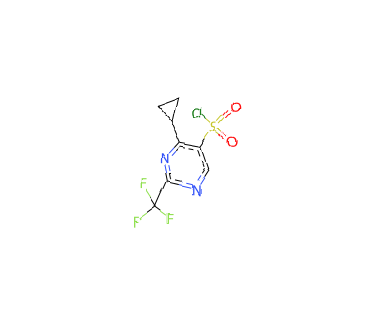 O=S(=O)(Cl)c1cnc(C(F)(F)F)nc1C1CC1